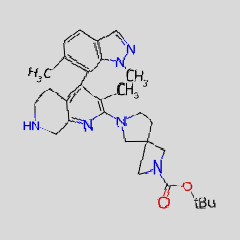 Cc1ccc2cnn(C)c2c1-c1c(C)c(N2CCC3(CN(C(=O)OC(C)(C)C)C3)C2)nc2c1CCNC2